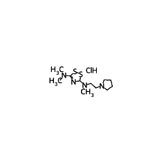 CN(C)C1=NC(N(C)CCN2CCCC2)SS1.Cl